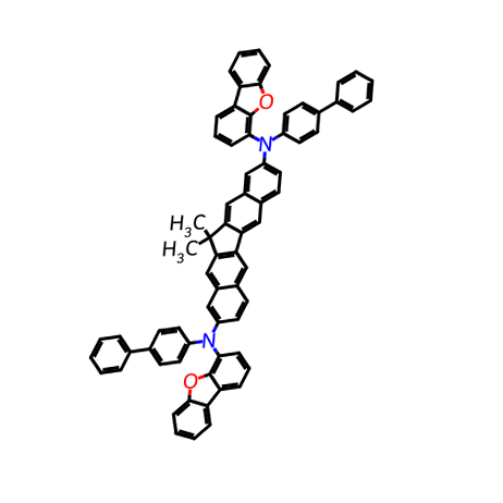 CC1(C)c2cc3cc(N(c4ccc(-c5ccccc5)cc4)c4cccc5c4oc4ccccc45)ccc3cc2-c2cc3ccc(N(c4ccc(-c5ccccc5)cc4)c4cccc5c4oc4ccccc45)cc3cc21